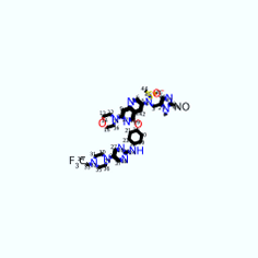 Cn1c(CN(c2cnc3cc(N4CCOCC4)nc(O[C@H]4CC[C@@H](Nc5ncc(N6CCN(CC(F)(F)F)CC6)cn5)CC4)c3c2)[S+](C)[O-])cnc1N=O